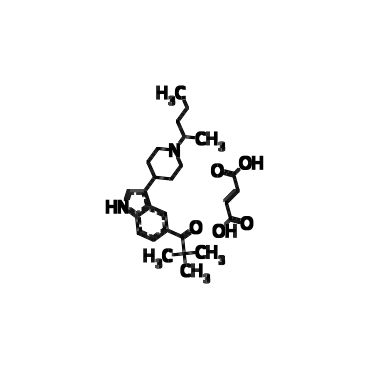 CCCC(C)N1CCC(c2c[nH]c3ccc(C(=O)C(C)(C)C)cc23)CC1.O=C(O)/C=C/C(=O)O